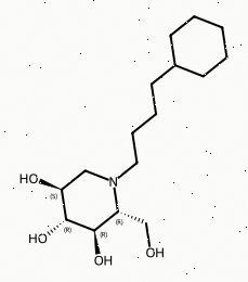 OC[C@@H]1[C@@H](O)[C@H](O)[C@@H](O)CN1CCCCC1CCCCC1